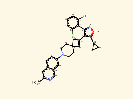 O=C(O)c1cc2ccc(N3CCC4(C=C(c5c(-c6c(Cl)cccc6Cl)noc5C5CC5)C4)CC3)cc2cn1